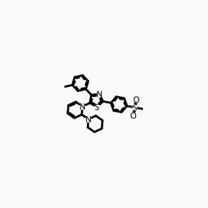 Cc1cccc(-c2nc(-c3ccc(S(C)(=O)=O)cc3)sc2N2C=CC=CC2N2CCCCC2)c1